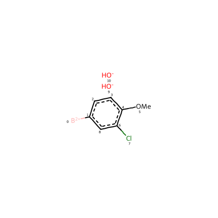 [B+2]c1ccc(OC)c(Cl)c1.[OH-].[OH-]